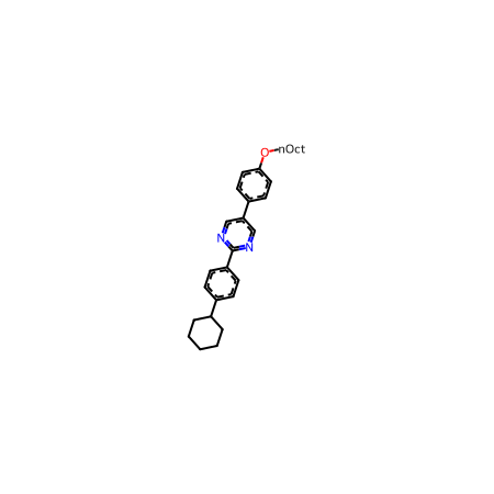 CCCCCCCCOc1ccc(-c2cnc(-c3ccc(C4CCCCC4)cc3)nc2)cc1